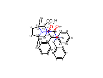 CN(Cc1ccccc1)C(=O)N1C[C@@H]2CC[C@H]([C@H]1C(=O)O)N2C(=O)C(c1ccccc1)c1ccccc1